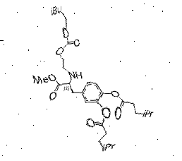 CCC(C)COC(=O)OCCN[C@@H](Cc1ccc(OC(=O)CCC(C)C)c(OC(=O)CCC(C)C)c1)C(=O)OC